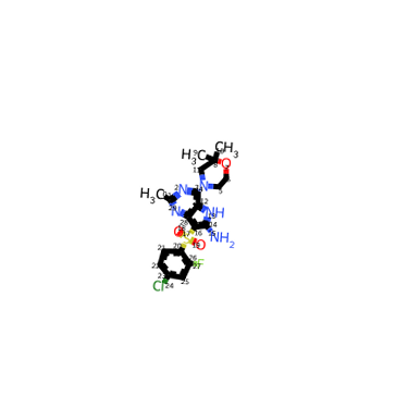 Cc1nc(N2CCOC(C)(C)C2)c2[nH]c(N)c(S(=O)(=O)c3ccc(Cl)cc3F)c2n1